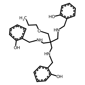 CCCOCC(CNCc1ccccc1O)(CNCc1ccccc1O)CNCc1ccccc1O